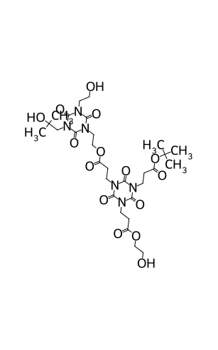 CC(C)(O)Cn1c(=O)n(CCO)c(=O)n(CCOC(=O)CCn2c(=O)n(CCC(=O)OCCO)c(=O)n(CCC(=O)OC(C)(C)C)c2=O)c1=O